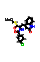 COCSC(=O)C(Cc1cc(=O)[nH]c2ccccc12)NC(=O)c1ccc(Cl)cc1